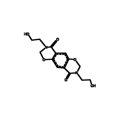 O=C1c2cc3c(cc2OCN1CCO)C(=O)N(CCO)CO3